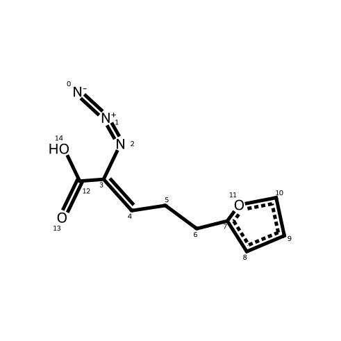 [N-]=[N+]=NC(=CCCc1ccco1)C(=O)O